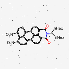 CCCCCCC(CCCCCC)N1C(=O)c2ccc3c4ccc([N+](=O)[O-])c5c([N+](=O)[O-])ccc(c6ccc(c2c36)C1=O)c54